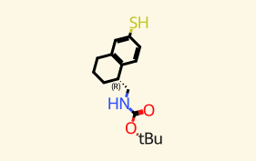 CC(C)(C)OC(=O)NC[C@@H]1CCCc2cc(S)ccc21